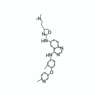 Cc1ccc(Oc2ccc(Nc3ncnc4ccc(NC5=NC(CCN(C)C)CO5)cc34)cc2C)cn1